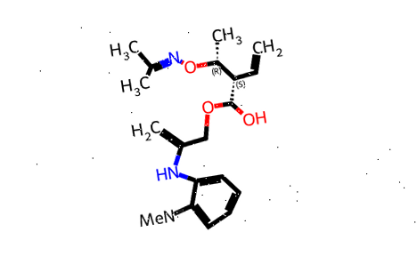 C=C[C@H](C(O)OCC(=C)Nc1ccccc1NC)[C@@H](C)ON=C(C)C